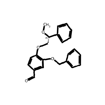 CO[C@@H](COc1ccc(C=O)cc1OCc1ccccc1)c1ccccc1